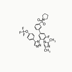 Cc1cn(-c2c(F)cc(-c3cccc(S(=O)(=O)N4CCCC4)c3)cc2-n2nncc2-c2ccc(OC(F)(F)F)cc2)c(C)n1